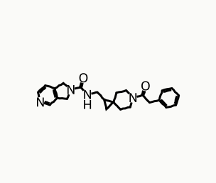 O=C(Cc1ccccc1)N1CCC2(CC1)CC2CNC(=O)N1Cc2ccncc2C1